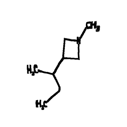 CCC(C)C1CN(C)C1